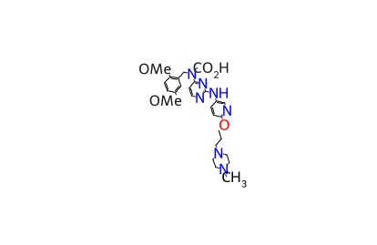 COc1ccc(OC)c(CN(C(=O)O)c2ccnc(Nc3ccc(OCCCN4CCN(C)CC4)nc3)n2)c1